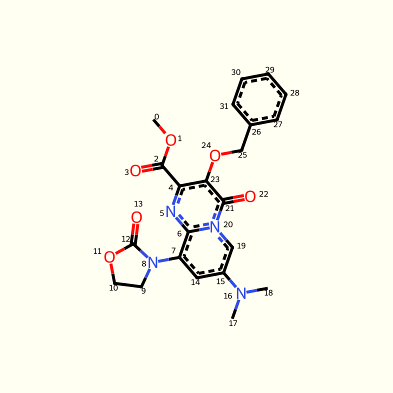 COC(=O)c1nc2c(N3CCOC3=O)cc(N(C)C)cn2c(=O)c1OCc1ccccc1